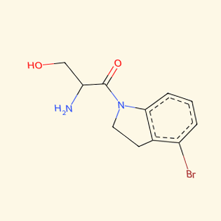 NC(CO)C(=O)N1CCc2c(Br)cccc21